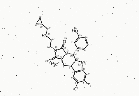 C[C@@]12CC3c4cc(Cl)c(F)cc4NC3[C@@H](c3cccc(O)c3)N1C(=O)N(CCNCC1CC1)C2=O